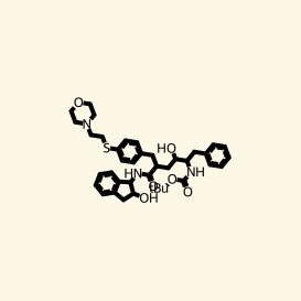 CC(C)(C)OC(=O)NC(Cc1ccccc1)C(O)CC(Cc1ccc(SCCN2CCOCC2)cc1)C(=O)NC1c2ccccc2CC1O